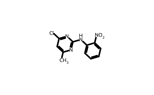 Cc1cc(Cl)nc(Nc2ccccc2[N+](=O)[O-])n1